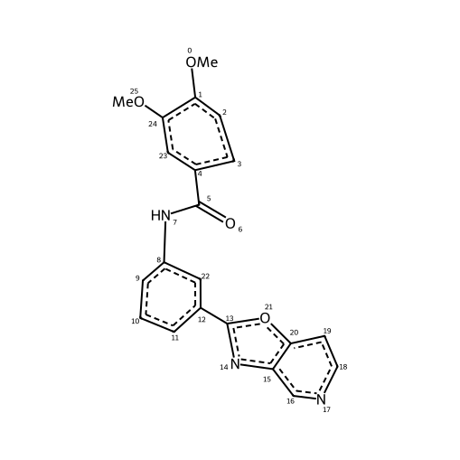 COc1ccc(C(=O)Nc2cccc(-c3nc4cnccc4o3)c2)cc1OC